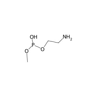 COP(O)OCCN